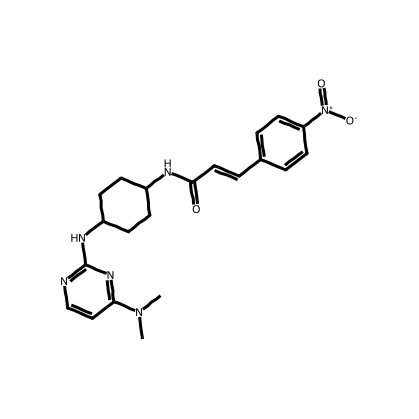 CN(C)c1ccnc(NC2CCC(NC(=O)C=Cc3ccc([N+](=O)[O-])cc3)CC2)n1